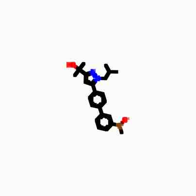 CC(C)Cn1nc(C(C)(C)O)cc1-c1ccc(-c2cccc([S+](C)[O-])c2)cc1